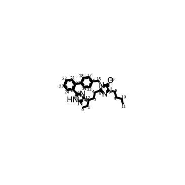 CCCCCc1nn(CCCC)c(=O)n1Cc1ccc(-c2ccccc2-c2nnn[nH]2)cc1